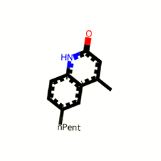 CCCCCc1ccc2[nH]c(=O)cc(C)c2c1